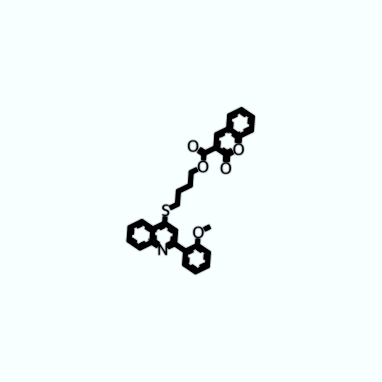 COc1ccccc1-c1cc(SCCCCOC(=O)c2cc3ccccc3oc2=O)c2ccccc2n1